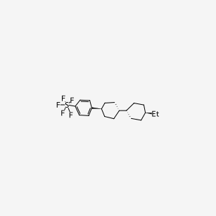 CC[C@H]1CC[C@H]([C@H]2CC[C@H](c3ccc(S(F)(F)(F)(F)F)cc3)CC2)CC1